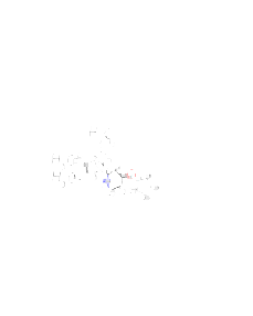 CCC[CH2][Sn]([CH2]CCC)([CH2]CCC)[c]1cc(OC2CCCC2)ccn1